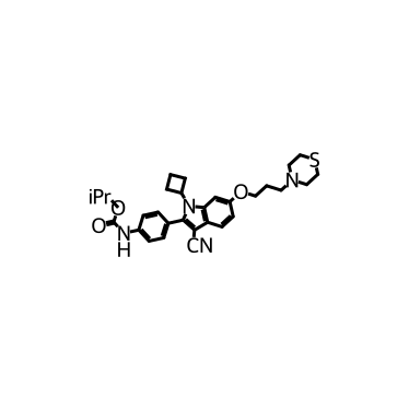 CC(C)OC(=O)Nc1ccc(-c2c(C#N)c3ccc(OCCCN4CCSCC4)cc3n2C2CCC2)cc1